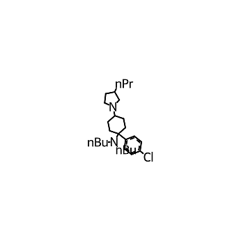 CCCCN(CCCC)C1(c2ccc(Cl)cc2)CCC(N2CCC(CCC)C2)CC1